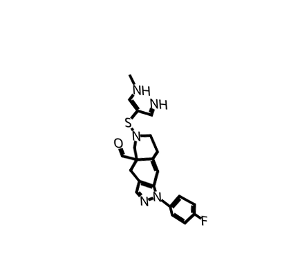 CN/C=C(\C=N)SN1CCC2=Cc3c(cnn3-c3ccc(F)cc3)CC2(C=O)C1